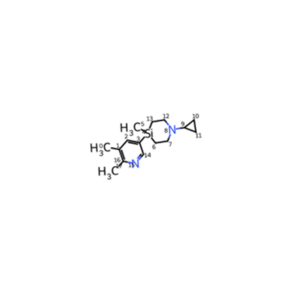 Cc1cc([Si]2(C)CCN(C3CC3)CC2)cnc1C